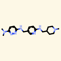 CN1CCC(CNc2ccc(CNc3ccc(N(C)C)nn3)cn2)CC1